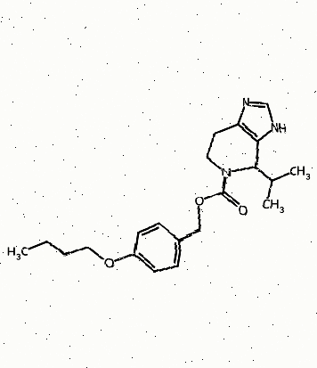 CCCCOc1ccc(COC(=O)N2CCc3nc[nH]c3C2C(C)C)cc1